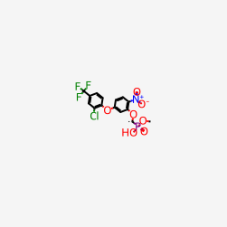 COP(=O)(O)[CH]Oc1cc(Oc2ccc(C(F)(F)F)cc2Cl)ccc1[N+](=O)[O-]